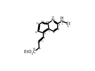 CCNc1ccc2c(/C=C/CC(=O)OCC)cccc2n1